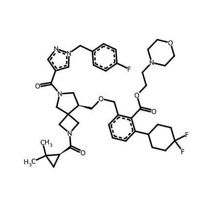 CC1(C)C[C@@H]1C(=O)N1CC2(CN(C(=O)c3cnn(Cc4ccc(F)cc4)c3)C[C@H]2COCc2cccc(C3CCC(F)(F)CC3)c2C(=O)OCCN2CCOCC2)C1